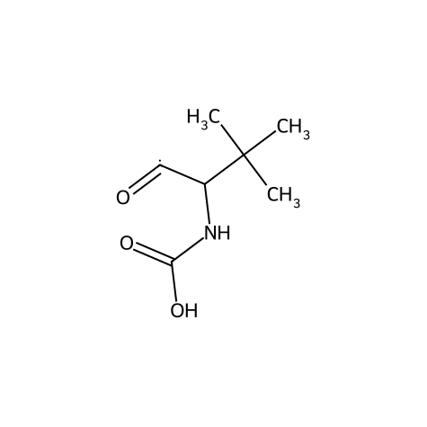 CC(C)(C)C([C]=O)NC(=O)O